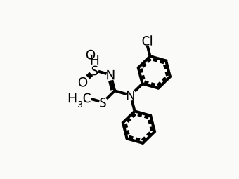 CSC(=N[SH](=O)=O)N(c1ccccc1)c1cccc(Cl)c1